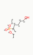 CCOP(=O)(OCC)C(C)CCCCO